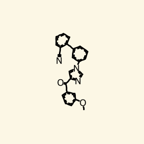 COc1cccc(C(=O)c2cn(-c3cccc(-c4ccccc4C#N)c3)cn2)c1